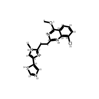 COc1nc(CCc2nc(-c3cncs3)cn2C)nc2c(Cl)cccc12